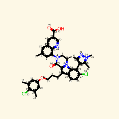 Cc1cc(N2C[C@@H](C)n3c(c(CCCOc4cc(C)c(Cl)c(C)c4)c4ccc(Cl)c(-c5c(C)nn(C)c5C)c43)C2=O)c2ncc(C(=O)O)cc2c1